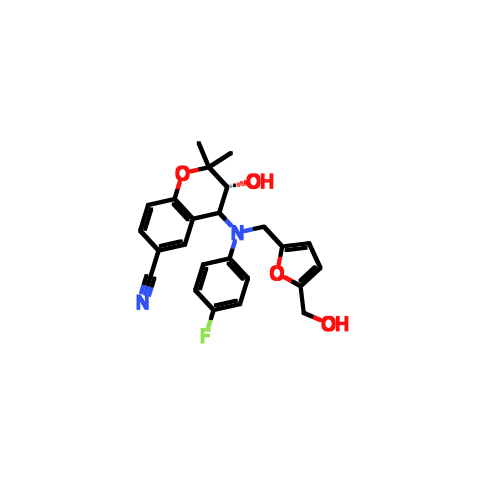 CC1(C)Oc2ccc(C#N)cc2C(N(Cc2ccc(CO)o2)c2ccc(F)cc2)[C@H]1O